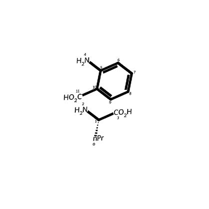 CCC[C@H](N)C(=O)O.Nc1ccccc1C(=O)O